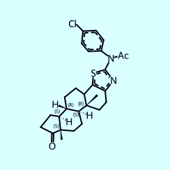 CC(=O)N(c1ccc(Cl)cc1)c1nc2c(s1)C1CC[C@@H]3[C@H](CC[C@]4(C)C(=O)CC[C@@H]34)[C@@]1(C)CC2